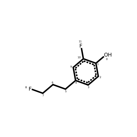 Oc1ccc(CCCF)cc1F